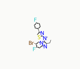 CCc1nc2cc(F)c(Br)cn2c1N(C)c1nc(-c2ccc(F)cc2)cs1